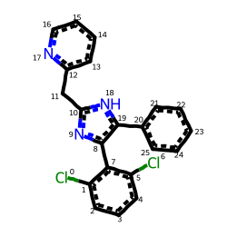 Clc1cccc(Cl)c1-c1nc(Cc2ccccn2)[nH]c1-c1ccccc1